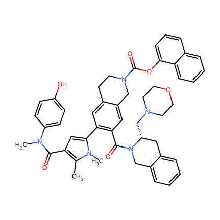 Cc1c(C(=O)N(C)c2ccc(O)cc2)cc(-c2cc3c(cc2C(=O)N2Cc4ccccc4C[C@H]2CN2CCOCC2)CN(C(=O)Oc2cccc4ccccc24)CC3)n1C